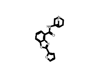 O=C(NC1CN2CCC1CC2)c1cccc2oc(-c3ccco3)nc12